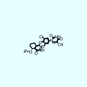 CC(C)O[C@@H]1CCCc2c(Oc3c(Cl)cc(-n4nc(C#N)c(=O)[nH]c4=O)cc3Cl)n[nH]c(=O)c21